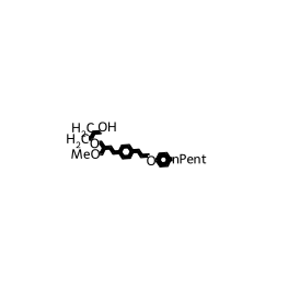 C=C(CO)C(=C)OCC(CCC1CCC(CCCOc2ccc(CCCCC)cc2)CC1)COC